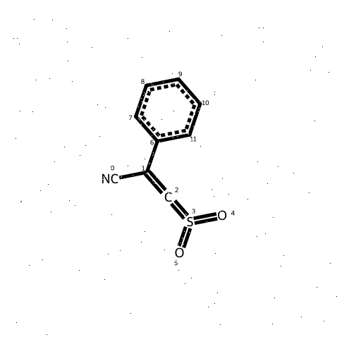 N#CC(=C=S(=O)=O)c1ccccc1